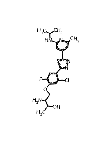 Cc1cc(-c2nnc(-c3cc(F)c(OC[C@H](N)[C@H](C)O)cc3Cl)s2)cc(NC(C)C)n1